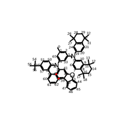 Cc1cc(N(c2ccc3c(c2)C(C)(C)CCC3(C)C)c2ccc3c(c2)C(C)(C)CCC3(C)C)cc(N(c2ccc3c(c2)oc2ccccc23)c2ccc(C(C)(C)C)cc2-c2ccccc2)c1